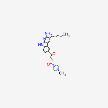 CCCCCc1cc2c(nc1N)[nH]c1ccc(C(=O)CCC(=O)N3CCN(C)CC3)cc12